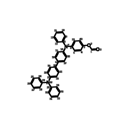 O=COc1ccc(N(c2ccccc2)c2ccc(-c3ccc(N(c4ccccc4)c4ccccc4)cc3)cc2)cc1